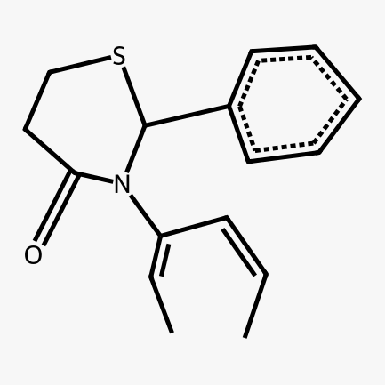 C/C=C\C(=C/C)N1C(=O)CCSC1c1ccccc1